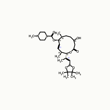 C/C(=C\B1OC(C)(C)C(C)(C)O1)[C@H]1OC(=O)C[C@H](O)CC[C@H](C)[C@H](OC(=O)N2CCN(C)CC2)/C=C/[C@@H]1C